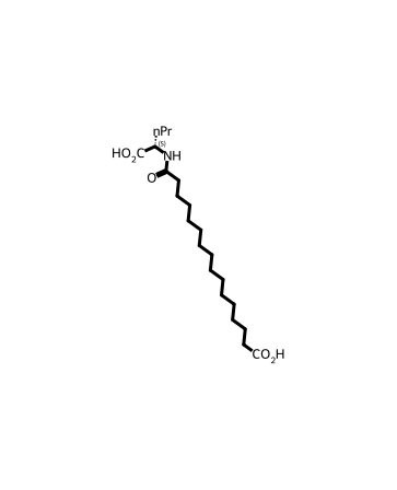 CCC[C@H](NC(=O)CCCCCCCCCCCCCCC(=O)O)C(=O)O